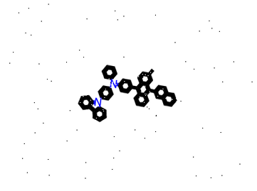 Cc1ccc2c(-c3ccc(N(c4ccccc4)c4ccc(-n5c6ccccc6c6ccccc65)cc4)cc3)c3ccccc3c(-c3ccc4ccccc4c3)c2c1